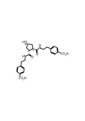 Cl.O=C(O)c1ccc(CCNC(=O)[C@@H]2CNC[C@H]2C(=O)NCCc2ccc(C(=O)O)cc2)cc1